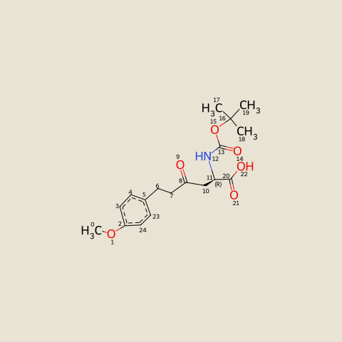 COc1ccc(CCC(=O)C[C@@H](NC(=O)OC(C)(C)C)C(=O)O)cc1